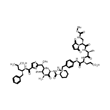 CC[C@H](C)[C@H](NC(=O)[C@H]1CCCC[N+]1(C)Cc1ccc(NC(=O)[C@H](CCC(=O)O)NC(=O)[C@@H](NC(=O)[C@H](CNC(=O)OC(C)(C)C)N2C(=O)C=CC2=O)C(C)C)cc1)C(=O)N(C)[C@H](C[C@@H](OC(C)=O)c1nc(C(=O)N[C@@H](Cc2ccccc2)C[C@H](C)C(=O)O)cs1)C(C)C